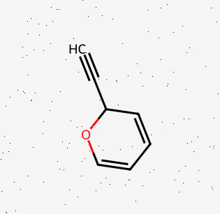 C#CC1C=CC=CO1